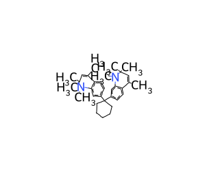 CC1=CC(C)(C)N(C)c2cc(C3(c4ccc5c(c4)N(C)C(C)(C)C=C5C)CCCCC3)ccc21